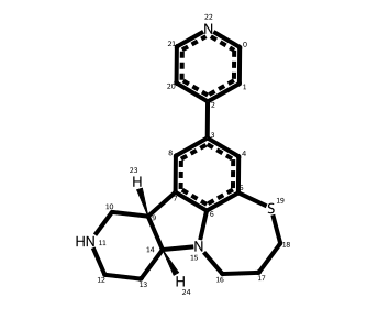 c1cc(-c2cc3c4c(c2)[C@H]2CNCC[C@H]2N4CCCS3)ccn1